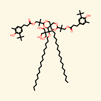 CCCCCCCCCCCCCCCCCCOC(CCCCCCCCCCCCCCCCCC)(C1OC(C(C)(C)COC(=O)CCc2cc(C)c(O)c(C(C)(C)C)c2)OCC12COC(C(C)(C)COC(=O)CCc1cc(C)c(O)c(C(C)(C)C)c1)OC2)C(CO)(CO)CO